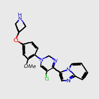 COc1cc(OC2CNC2)ccc1N1C=C(Cl)C(c2cnc3ccccn23)=NC1